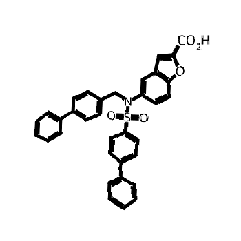 O=C(O)c1cc2cc(N(Cc3ccc(-c4ccccc4)cc3)S(=O)(=O)c3ccc(-c4ccccc4)cc3)ccc2o1